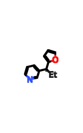 CC[C](c1cccnc1)c1ccco1